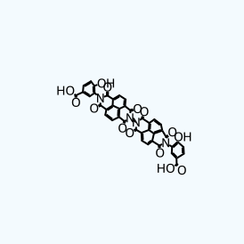 O=C(O)c1ccc(O)c(N2C(=O)c3ccc4c5c(ccc(c35)C2=O)C(=O)N(N2C(=O)c3ccc5c6c(ccc(c36)C2=O)C(=O)N(c2cc(C(=O)O)ccc2O)C5=O)C4=O)c1